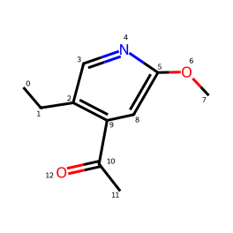 CCc1cnc(OC)cc1C(C)=O